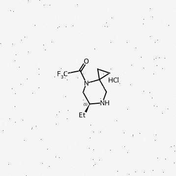 CC[C@H]1CN(C(=O)C(F)(F)F)C2(CC2)CN1.Cl